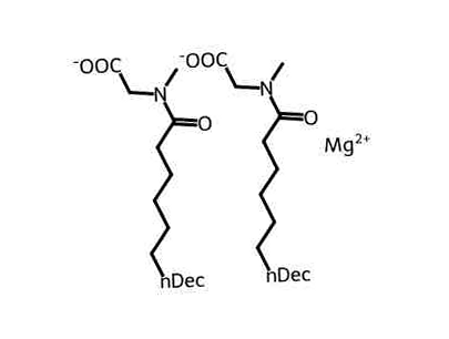 CCCCCCCCCCCCCCCC(=O)N(C)CC(=O)[O-].CCCCCCCCCCCCCCCC(=O)N(C)CC(=O)[O-].[Mg+2]